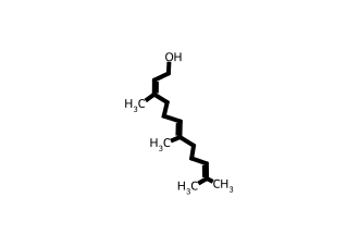 CC(C)=CCC/C(C)=C/CC/C(C)=C\CO